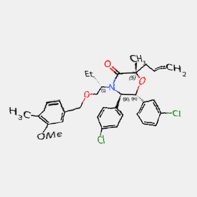 C=CC[C@]1(C)O[C@H](c2cccc(Cl)c2)[C@@H](c2ccc(Cl)cc2)N([C@@H](CC)COCc2ccc(C)c(OC)c2)C1=O